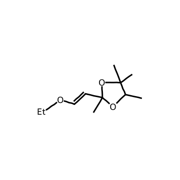 CCO/C=C/C1(C)OC(C)C(C)(C)O1